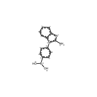 Nc1nc2ccccc2n1-c1ccc(B(O)O)cc1